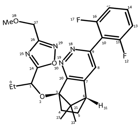 CCC(O[C@@]12CC[C@@H](c3cc(-c4c(F)cccc4F)nnc31)C2(C)C)c1nc(COC)no1